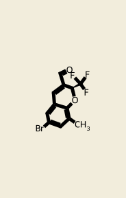 Cc1cc(Br)cc2c1O[C@H](C(F)(F)F)C(C=O)=C2